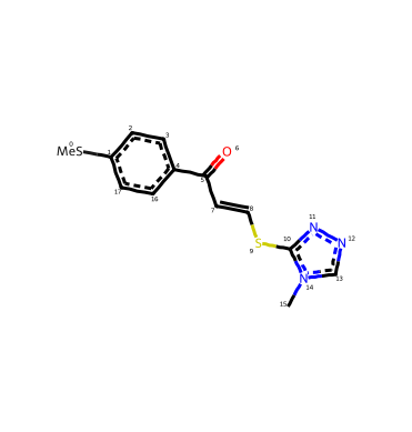 CSc1ccc(C(=O)/C=C/Sc2nncn2C)cc1